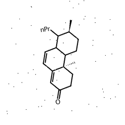 CCCC1C2C=CC3=CC(=O)CC[C@]3(C)C2CC[C@@H]1C